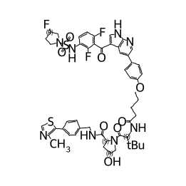 Cc1ncsc1-c1ccc(CNC(=O)[C@@H]2C[C@@H](O)CN2C(=O)[C@@H](NC(=O)CCCCOc2ccc(-c3cnc4[nH]cc(C(=O)c5c(F)ccc(NS(=O)(=O)N6CC[C@@H](F)C6)c5F)c4c3)cc2)C(C)(C)C)cc1